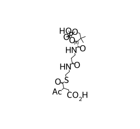 CC(=O)C(CC(=O)O)C(=O)SCCNC(=O)CCNC(=O)[C@@H]1OP(=O)(O)OCC1(C)C